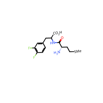 CSCC[C@H](N)C(=O)NC(Cc1ccc(F)c(F)c1)C(=O)O